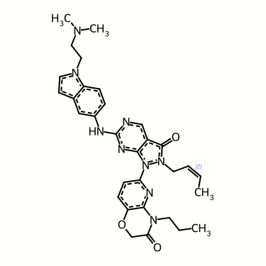 C/C=C\Cn1c(=O)c2cnc(Nc3ccc4c(ccn4CCN(C)C)c3)nc2n1-c1ccc2c(n1)N(CCC)C(=O)CO2